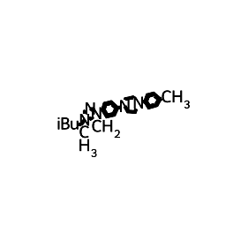 C=C1N(c2ccc(N3CCN(c4ccc(C)cc4)CC3)cc2)N=CN1C(C)C(C)CC